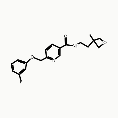 CC1(CCNC(=O)c2ccc(COc3cccc(F)c3)nc2)COC1